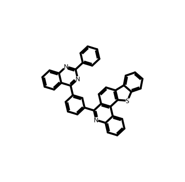 c1ccc(-c2nc(-c3cccc(-c4nc5ccccc5c5c4ccc4c6ccccc6sc45)c3)c3ccccc3n2)cc1